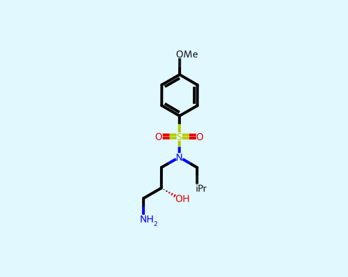 COc1ccc(S(=O)(=O)N(CC(C)C)C[C@H](O)CN)cc1